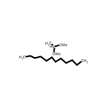 CCCCCCCCCCCC.CO[SiH](C)OC